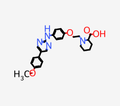 COc1ccc(-c2cnc(Nc3ccc(OCCN4CCCCC4C(=O)O)cc3)nc2)cc1